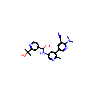 Cc1ncc(NC(O)c2ccnc(C(C)(C)O)c2)cc1-c1cnc(N(C)C)c(C#N)c1